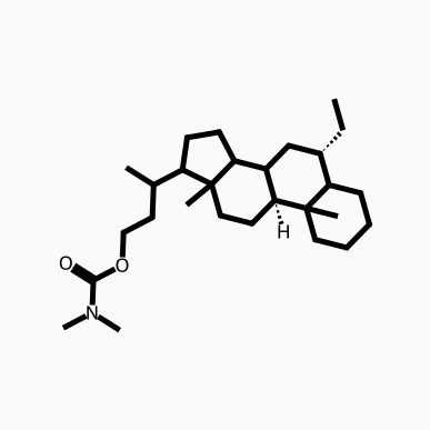 CC[C@H]1CC2C3CCC(C(C)CCOC(=O)N(C)C)C3(C)CC[C@@H]2C2(C)CCCCC12